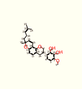 COc1ccc([C@H]2COc3c(ccc4c3C=CC(C)(CCC=C(C)C)O4)C2)c(O)c1O